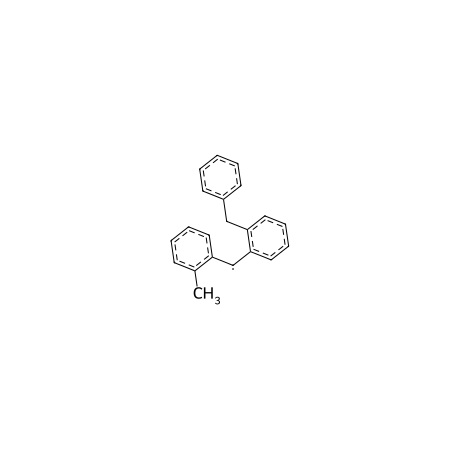 Cc1ccccc1[CH]c1ccccc1Cc1ccccc1